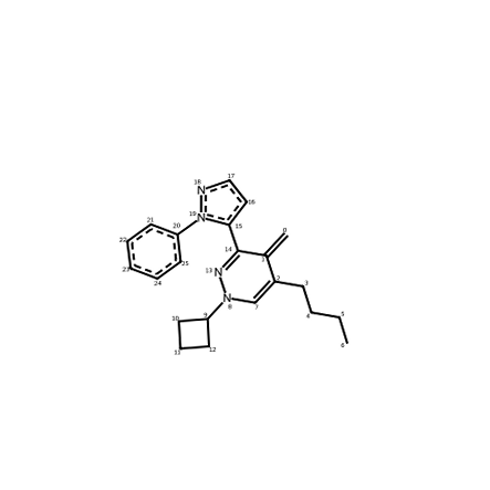 C=C1C(CCCC)=CN(C2CCC2)N=C1c1ccnn1-c1ccccc1